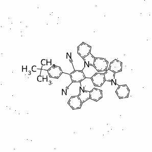 CC(C)(C)c1ccc(-c2c(C#N)c(-n3c4ccccc4c4ccccc43)c(-c3ccc4c(c3)c3ccccc3n4-c3ccccc3)c(-n3c4ccccc4c4ccccc43)c2C#N)cc1